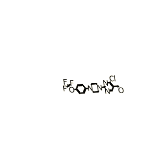 O=Cc1cnc(N2CCN(c3ccc(OC(F)(F)F)cc3)CC2)nc1Cl